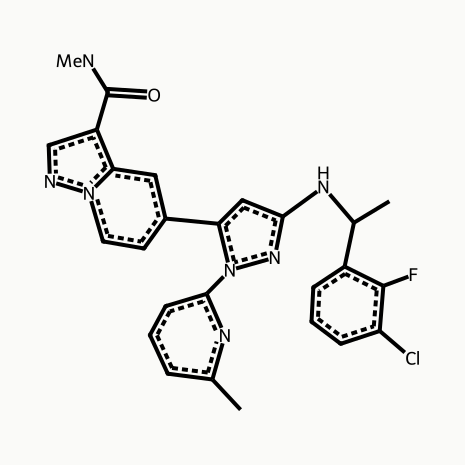 CNC(=O)c1cnn2ccc(-c3cc(NC(C)c4cccc(Cl)c4F)nn3-c3cccc(C)n3)cc12